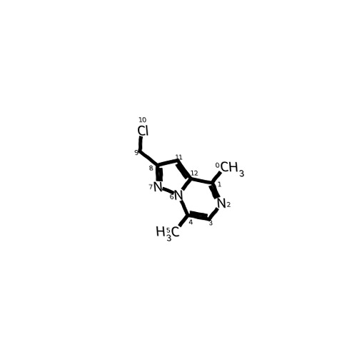 Cc1ncc(C)n2nc(CCl)cc12